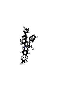 Cn1cc(-c2cc3c(NC4CC5CCC(C4)N5)c(/C(N)=N/c4ccc(O[Si](C)(C)C(C)(C)C)cc4Cl)cnn3c2)cn1